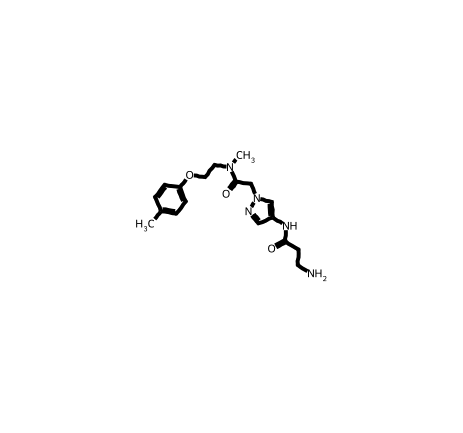 Cc1ccc(OCCN(C)C(=O)Cn2cc(NC(=O)CCN)cn2)cc1